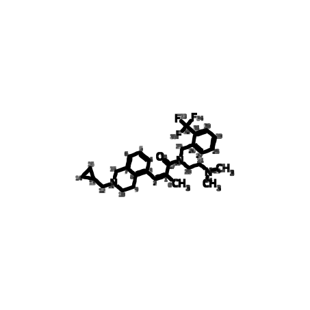 CC(=Cc1cccc2c1CCN(CC1CC1)C2)C(=O)N(CCN(C)C)Cc1ccccc1C(F)(F)F